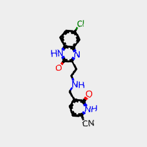 N#Cc1ccc(CNCCc2nc3cc(Cl)ccc3[nH]c2=O)c(=O)[nH]1